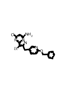 CCc1c(Cc2ccc(OCc3ccccc3)nc2)nn2c(N)cc(Cl)nc12